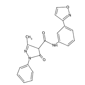 CC1=NN(c2ccccc2)C(=O)C1C(=O)Nc1cccc(-c2ccon2)c1